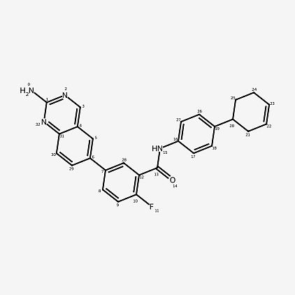 Nc1ncc2cc(-c3ccc(F)c(C(=O)Nc4ccc(C5CC=CCC5)cc4)c3)ccc2n1